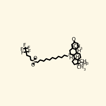 C[C@]12CCC(=O)C=C1C[C@@H](CCCCCCCCCCCS(=O)(=O)CCCC(F)(F)C(F)(F)F)[C@@H]1[C@@H]2CC[C@@]2(C)[C@H]1CC[C@]2(C)O